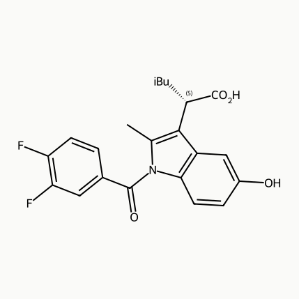 CCC(C)[C@H](C(=O)O)c1c(C)n(C(=O)c2ccc(F)c(F)c2)c2ccc(O)cc12